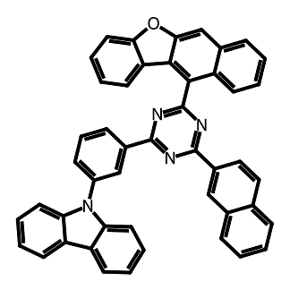 c1cc(-c2nc(-c3ccc4ccccc4c3)nc(-c3c4ccccc4cc4oc5ccccc5c34)n2)cc(-n2c3ccccc3c3ccccc32)c1